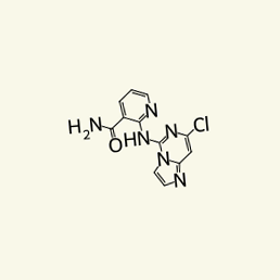 NC(=O)c1cccnc1Nc1nc(Cl)cc2nccn12